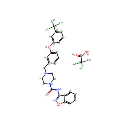 O=C(Nc1noc2ccccc12)N1CCN(Cc2cccc(Oc3cccc(C(F)(F)F)c3)c2)CC1.O=C(O)C(F)(F)F